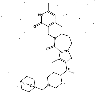 Cc1cc(C)c(CN2CCCc3sc([C@H](C)C4CCN(CC56CCC(CC5)CC6)CC4)c(C)c3C2=O)c(=O)[nH]1